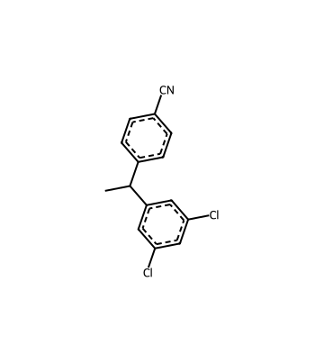 CC(c1ccc(C#N)cc1)c1cc(Cl)cc(Cl)c1